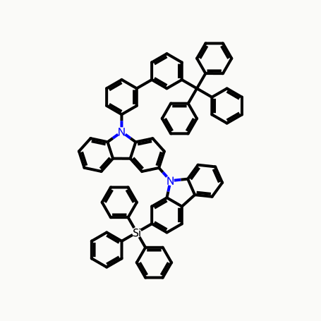 c1ccc(C(c2ccccc2)(c2ccccc2)c2cccc(-c3cccc(-n4c5ccccc5c5cc(-n6c7ccccc7c7ccc([Si](c8ccccc8)(c8ccccc8)c8ccccc8)cc76)ccc54)c3)c2)cc1